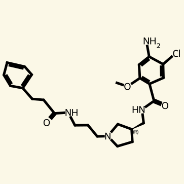 COc1cc(N)c(Cl)cc1C(=O)NC[C@H]1CCN(CCCNC(=O)CCc2ccccc2)C1